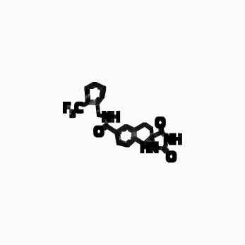 O=C1NC(=O)C2(CCc3cc(C(=O)NCc4ccccc4C(F)(F)F)ccc3C2)N1